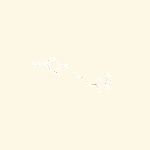 Cc1ccc(OCCCCCC(=O)OC(C)(C)I)c(Cl)c1